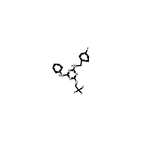 Fc1ccc(CNc2nc(Nc3ccccc3)nc(OCC(F)(F)F)n2)cc1